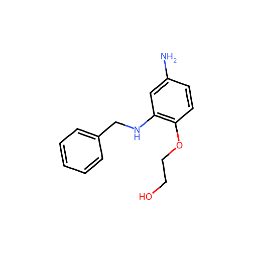 Nc1ccc(OCCO)c(NCc2ccccc2)c1